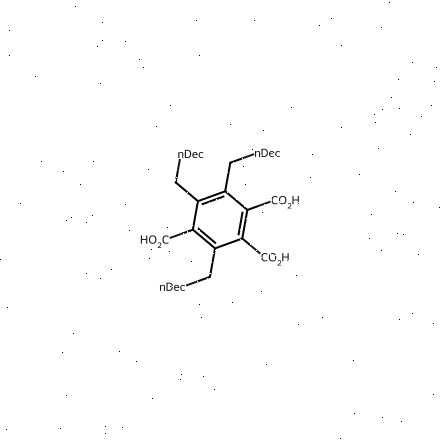 CCCCCCCCCCCc1c(CCCCCCCCCCC)c(C(=O)O)c(C(=O)O)c(CCCCCCCCCCC)c1C(=O)O